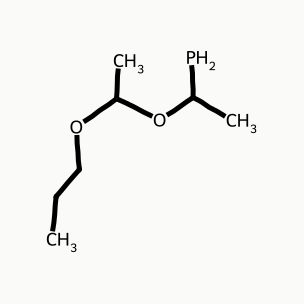 CCCOC(C)OC(C)P